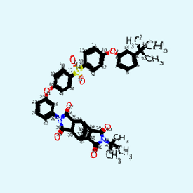 CC(C)(C)c1cccc(Oc2ccc(S(=O)(=O)c3ccc(Oc4cccc(N5C(=O)C6C7C=CC(C6C5=O)C5C(=O)N(C(C)(C)C)C(=O)C75)c4)cc3)cc2)c1